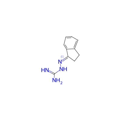 N=C(N)N/N=C1\CCc2ccccc21